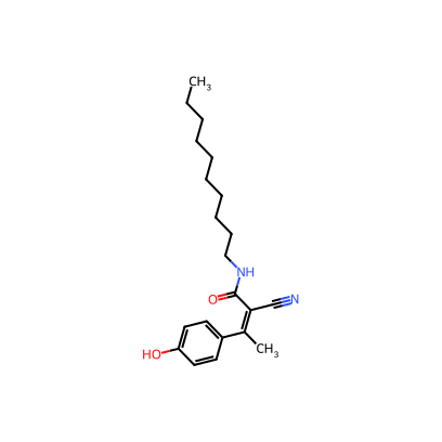 CCCCCCCCCCNC(=O)C(C#N)=C(C)c1ccc(O)cc1